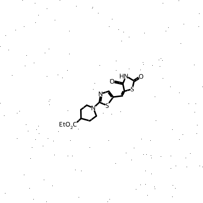 CCOC(=O)C1CCN(c2ncc(/C=C3/SC(=O)NC3=O)s2)CC1